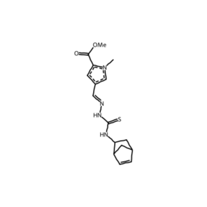 COC(=O)c1cc(C=NNC(=S)NC2CC3C=CC2C3)cn1C